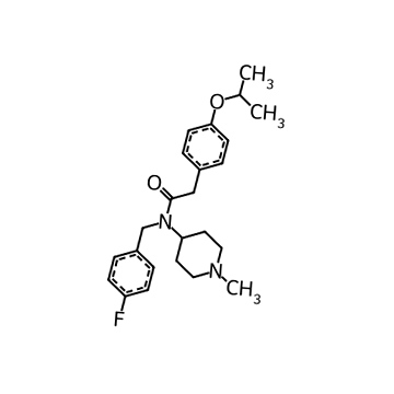 CC(C)Oc1ccc(CC(=O)N(Cc2ccc(F)cc2)C2CCN(C)CC2)cc1